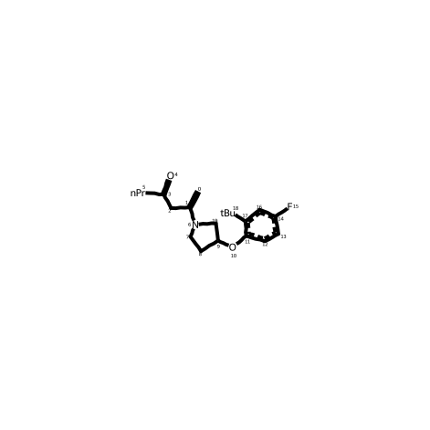 C=C(CC(=O)CCC)N1CCC(Oc2ccc(F)cc2C(C)(C)C)C1